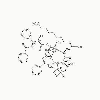 CC(=O)O[C@H]1C(=O)[C@@]2(C)[C@H]([C@H](OC(=O)c3ccccc3)[C@]3(O)C[C@H](OC(=O)[C@H](O)[C@@H](NC(=O)c4ccccc4)c4ccccc4)C(C)=C1C3(C)C)[C@]1(OC(C)=O)CO[C@@H]1C[C@@H]2O.CCCCCCCCC=CCCCCCCCC(=O)O